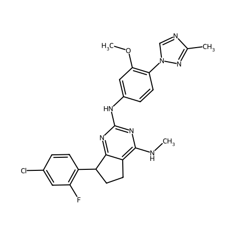 CNc1nc(Nc2ccc(-n3cnc(C)n3)c(OC)c2)nc2c1CCC2c1ccc(Cl)cc1F